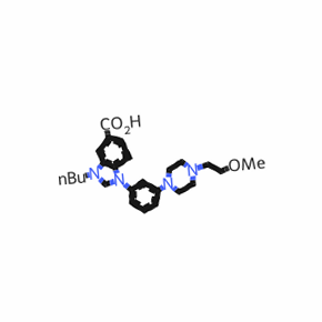 CCCCN1CN(c2cccc(N3CCN(CCOC)CC3)c2)c2ccc(C(=O)O)cc21